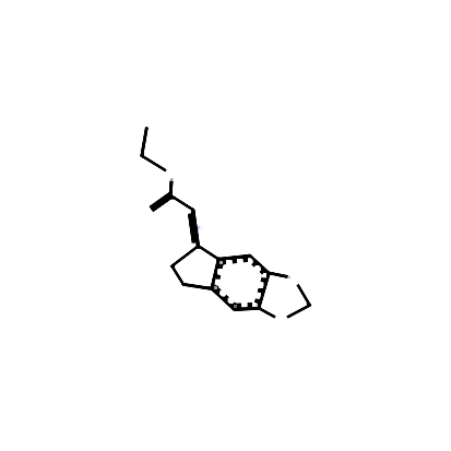 CCOC(=O)/C=C1\CCc2cc3c(cc21)OCO3